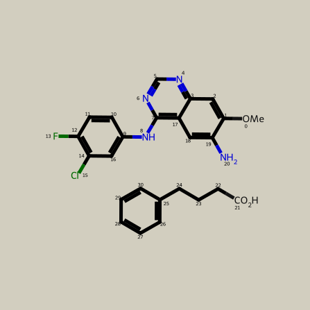 COc1cc2ncnc(Nc3ccc(F)c(Cl)c3)c2cc1N.O=C(O)CCCc1ccccc1